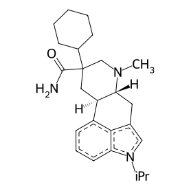 CC(C)n1cc2c3c(cccc31)[C@H]1CC(C(N)=O)(C3CCCCC3)CN(C)[C@@H]1C2